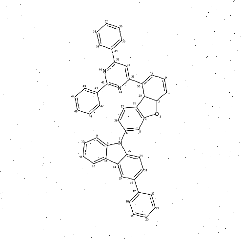 C1=CC2Oc3cc(-n4c5ccccc5c5cc(-c6ccccc6)ccc54)ccc3C2C(c2cc(-c3ccccc3)nc(-c3ccccc3)n2)=C1